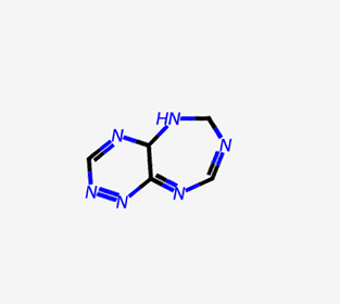 C1=NCNC2N=CN=NC2=N1